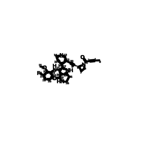 CC#CC(=O)N1CC[C@@H]1C#Cc1cnccc1-c1[nH]c2c(c1Nc1cccc(F)c1OC)C(=O)NCC2